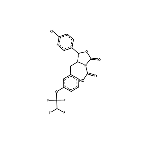 O=C(O)N1C(=O)OC(c2ccc(Cl)nc2)C1Cc1cccc(OC(F)(F)C(F)F)c1